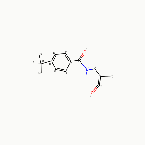 CC(=C=O)CNC(=O)c1ccc(C(C)(C)C)cc1